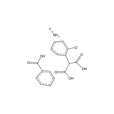 NF.O=C(O)C(C(=O)O)c1ccccc1Cl.O=C(O)c1ccccc1